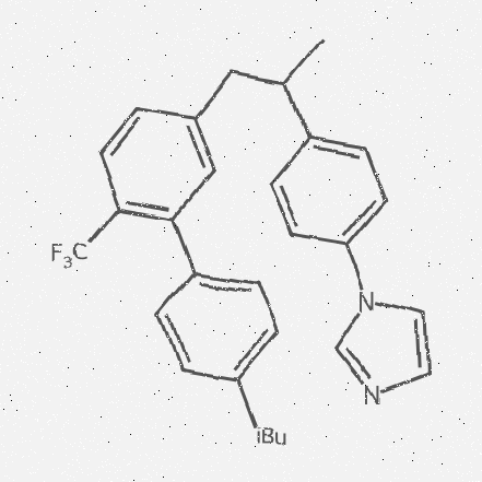 CCC(C)c1ccc(-c2cc(CC(C)c3ccc(-n4ccnc4)cc3)ccc2C(F)(F)F)cc1